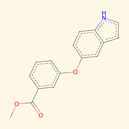 COC(=O)c1cccc(Oc2ccc3[nH]ccc3c2)c1